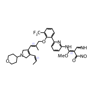 C/C=C\C1=C(/C=C(\C)COc2c(-c3cccc(N/C(OC)=C(\C=N)C(=O)N=O)n3)cccc2C(F)(F)F)CN(C2CCOCC2)C1